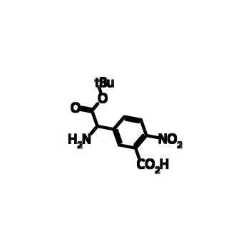 CC(C)(C)OC(=O)C(N)c1ccc([N+](=O)[O-])c(C(=O)O)c1